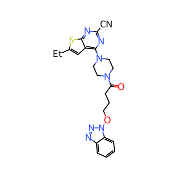 CCc1cc2c(N3CCN(C(=O)CCCOn4nnc5ccccc54)CC3)nc(C#N)nc2s1